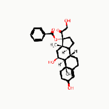 C[C@]12CCC(O)C=C1CC[C@@H]1[C@@H]2[C@@H](O)C[C@@]2(C)[C@H]1CC[C@]2(OC(=O)c1ccccc1)C(=O)CO